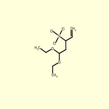 C=CC(CC(OCC)OCC)[Si](Cl)(Cl)Cl